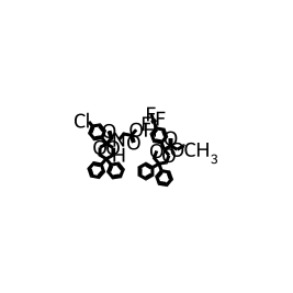 CCOC(=O)C1(c2ccc(C(F)(F)F)cc2)OCC(c2ccccc2)(c2ccccc2)CO1.O=C(O)CNC(=O)C1(c2ccc(Cl)cc2)OCC(c2ccccc2)(c2ccccc2)CO1